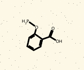 O=C(O)c1ccccc1OP